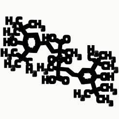 CC(C)(C)c1cc(CCC(C)(C(=O)O)S(=O)(=O)C(C)(CCc2cc(C(C)(C)C)c(O)c(C(C)(C)C)c2)C(=O)O)cc(C(C)(C)C)c1O